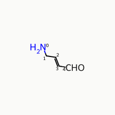 NCC=CC=O